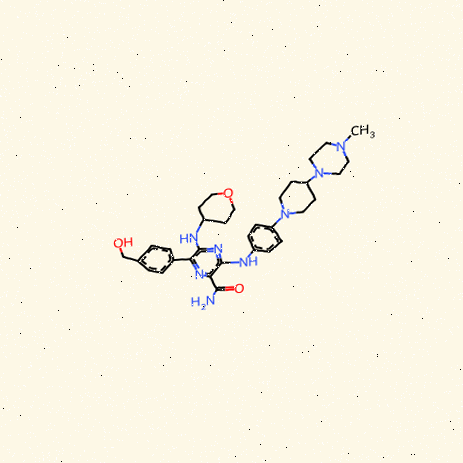 CN1CCN(C2CCN(c3ccc(Nc4nc(NC5CCOCC5)c(-c5ccc(CO)cc5)nc4C(N)=O)cc3)CC2)CC1